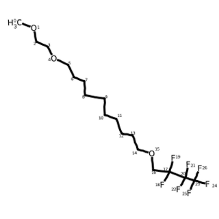 COCCOCCCCCCCCCCOCC(F)(F)C(F)(F)C(F)(F)F